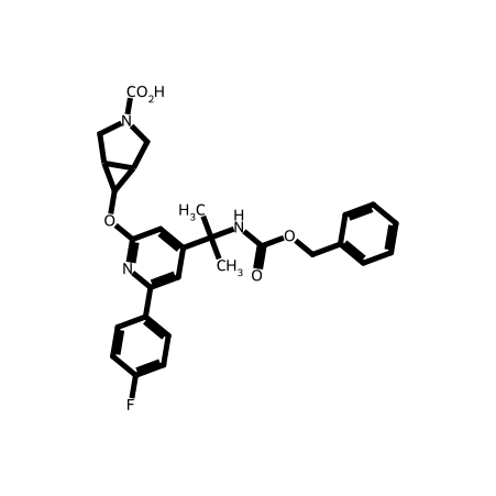 CC(C)(NC(=O)OCc1ccccc1)c1cc(OC2C3CN(C(=O)O)CC32)nc(-c2ccc(F)cc2)c1